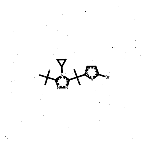 CC(C)(C)c1nnc(C(C)(C)c2ccc(Br)s2)n1C1CC1